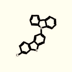 Clc1ccc2c(c1)sc1ccc(-n3c4ccccc4c4ccccc43)cc12